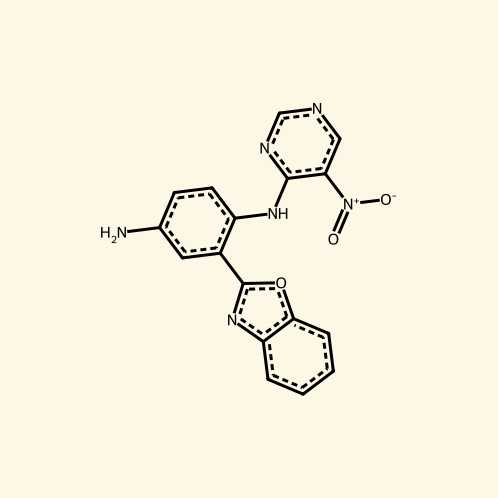 Nc1ccc(Nc2ncncc2[N+](=O)[O-])c(-c2nc3ccccc3o2)c1